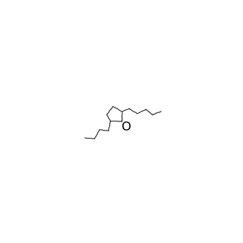 CCCCCC1CCC(CCCC)C1=O